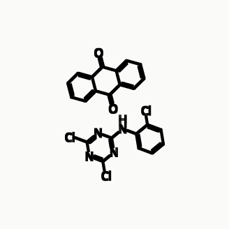 Clc1nc(Cl)nc(Nc2ccccc2Cl)n1.O=C1c2ccccc2C(=O)c2ccccc21